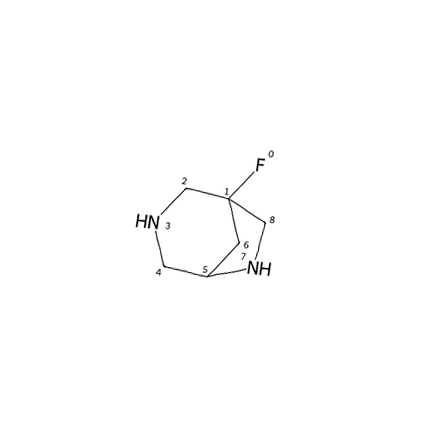 FC12CNCC(C1)NC2